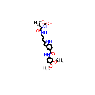 CCC(NC(=O)O)C(=O)NCCCc1cc2cc(C(=O)Nc3ccc(OC)c(OC)c3)ccc2[nH]1